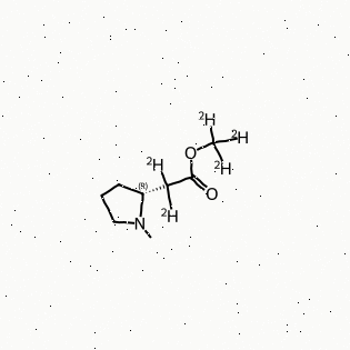 [2H]C([2H])([2H])OC(=O)C([2H])([2H])[C@H]1CCCN1C